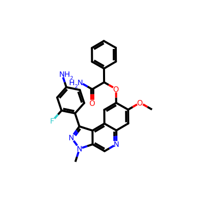 COc1cc2ncc3c(c(-c4ccc(N)cc4F)nn3C)c2cc1OC(C(N)=O)c1ccccc1